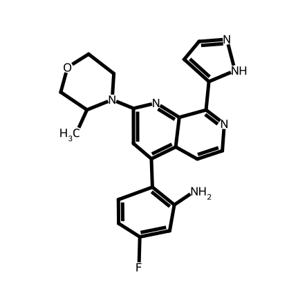 CC1COCCN1c1cc(-c2ccc(F)cc2N)c2ccnc(-c3ccn[nH]3)c2n1